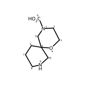 O=C(O)N1CCOC2(CCCNC2)C1